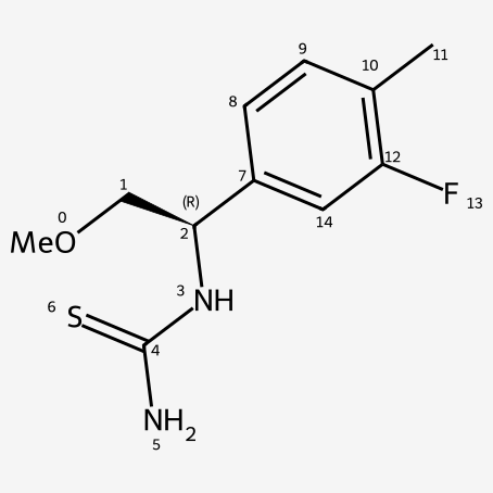 COC[C@H](NC(N)=S)c1ccc(C)c(F)c1